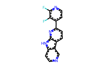 Fc1nccc(-c2ccc3c(n2)[nH]c2ccncc23)c1F